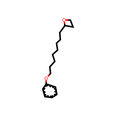 c1ccc(OCCCCCCCCC2CCO2)cc1